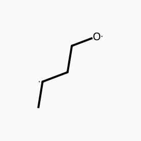 C[CH]CC[O]